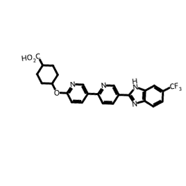 O=C(O)C1CCC(Oc2ccc(-c3ccc(-c4nc5ccc(C(F)(F)F)cc5[nH]4)cn3)cn2)CC1